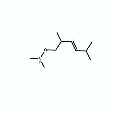 CC(C)C=CC(C)CO[SiH](C)C